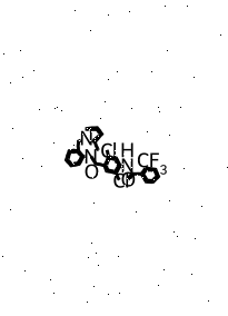 O=C(Nc1cc(Cl)c(C(=O)N2Cc3cccn3Cc3ccccc32)cc1Cl)c1ccccc1C(F)(F)F